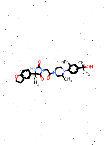 CCCc1cc(C(O)(C(F)(F)F)C(F)(F)F)ccc1N1CCN(C(=O)CN2C(=O)N[C@@](C)(c3ccc4c(c3)CCO4)C2=O)CC1C